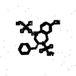 CCCS(=O)(=O)Cl.CCCS(=O)(=O)N1Cc2cc(C#N)ccc2NC[C@H]1Cc1ccccc1